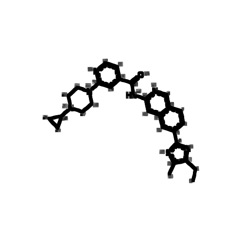 CCc1nc(-c2ccc3cnc(NC(=O)c4ccnc(N5CCN(C6CC6)CC5)c4)cc3c2)sc1C